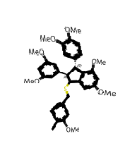 COc1cc(OC)cc([C@@H]2C(SCc3ccc(C)c(OC)c3)c3cc(OC)cc(OC)c3[C@H]2c2ccc(OC)c(OC)c2)c1